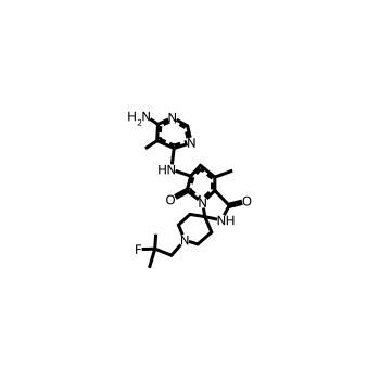 Cc1cc(Nc2ncnc(N)c2C)c(=O)n2c1C(=O)NC21CCN(CC(C)(C)F)CC1